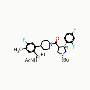 CC[C@H](NC(C)=O)c1cc(C)c(F)cc1C1CCN(C(=O)C2CN(C(C)(C)C)C[C@H]2c2ccc(F)cc2F)CC1